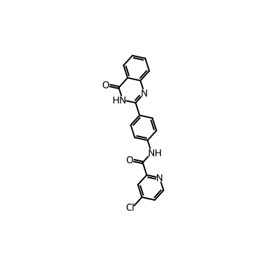 O=C(Nc1ccc(-c2nc3ccccc3c(=O)[nH]2)cc1)c1cc(Cl)ccn1